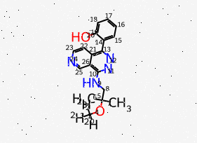 [2H]C([2H])([2H])OC(C)(C)CNc1nnc(-c2ccccc2O)c2ccncc12